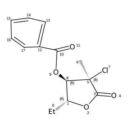 CC[C@H]1OC(=O)[C@](C)(Cl)[C@@H]1OC(=O)c1ccccc1